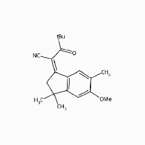 [CH2]C(C)(C)C(=O)C(C#N)=C1CC(C)(C)c2cc(OC)c(C)cc21